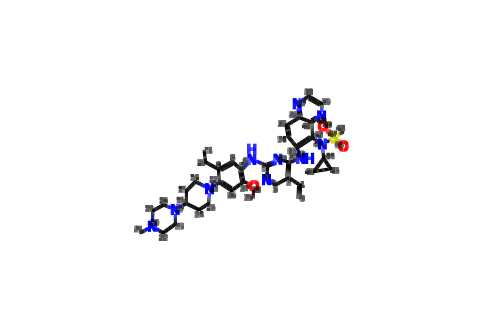 C=Cc1cnc(Nc2cc(CC)c(N3CCC(N4CCN(C)CC4)CC3)cc2OC)nc1Nc1ccc2nccnc2c1N(C1CC1)S(C)(=O)=O